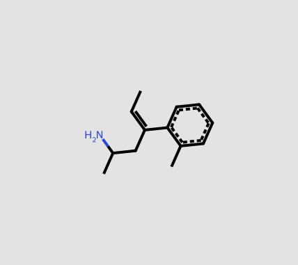 C/C=C(/CC(C)N)c1ccccc1C